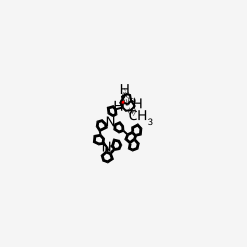 C[C@H]1C[C@H]2C[C@@H]3C[C@@H](C2)C(c2cccc(N(c4ccc(-c5cc6ccccc6c6ccccc56)cc4)c4cccc(-c5cccc(-n6c7ccccc7c7ccccc76)c5)c4)c2)(C1)C3